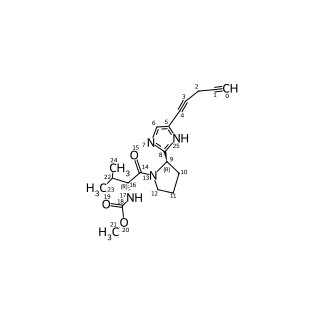 C#CCC#Cc1cnc([C@H]2CCCN2C(=O)[C@H](NC(=O)OC)C(C)C)[nH]1